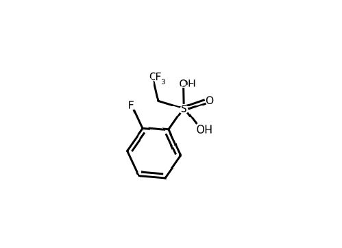 O=S(O)(O)(CC(F)(F)F)c1ccccc1F